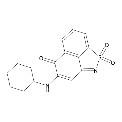 O=C1C(NC2CCCCC2)=CC2=NS(=O)(=O)c3cccc1c32